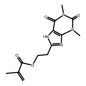 C=C(C)C(=O)OCCc1nc2c([nH]1)c(=O)n(C)c(=O)n2C